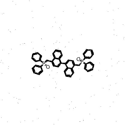 O=P(Cc1ccc(-c2ccc(CP(=O)(c3ccccc3)c3ccccc3)c3ccccc23)c2ccccc12)(c1ccccc1)c1ccccc1